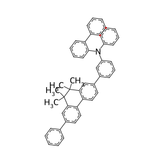 CC1(C)c2cc(-c3ccccc3)ccc2-c2ccc(-c3cccc(N(c4ccccc4)c4ccccc4-c4ccccc4)c3)cc2C1(C)C